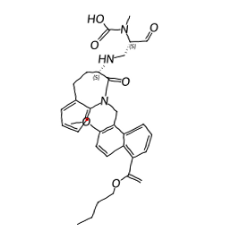 C=C(OCCCC)c1cccc2c(CN3C(=O)[C@@H](NC[C@@H](C=O)N(C)C(=O)O)CCc4ccccc43)c(OC)ccc12